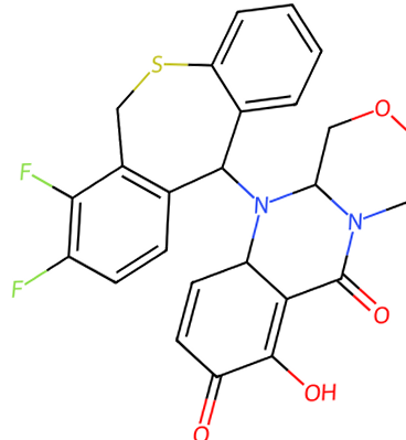 O=C1C=CC2C(=C1O)C(=O)N1CCOCC1N2C1c2ccccc2SCc2c1ccc(F)c2F